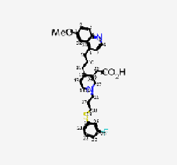 COc1ccc2nccc(CCC[C@@H]3CCN(CCCSc4cccc(F)c4)C[C@@H]3CC(=O)O)c2c1